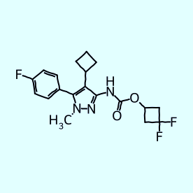 Cn1nc(NC(=O)OC2CC(F)(F)C2)c(C2CCC2)c1-c1ccc(F)cc1